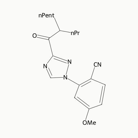 CCCCCC(CCC)C(=O)c1ncn(-c2cc(OC)ccc2C#N)n1